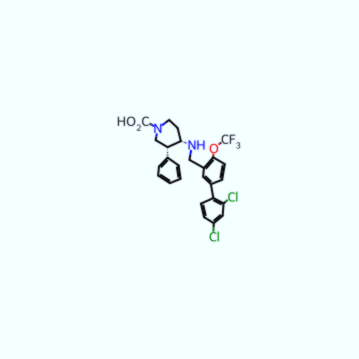 O=C(O)N1CC[C@H](NCc2cc(-c3ccc(Cl)cc3Cl)ccc2OC(F)(F)F)[C@H](c2ccccc2)C1